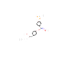 CCO/N=C(\COc1ccc(CC(OCC)C(=O)O)cc1)c1ccc(OS(C)(=O)=O)cc1